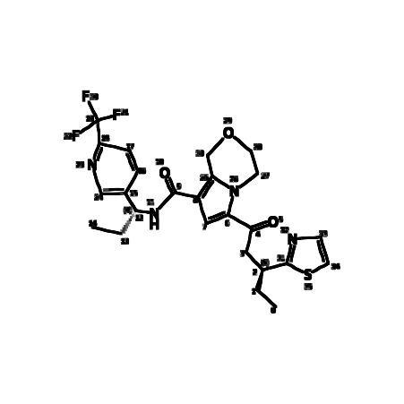 CC[C@@H](CC(=O)c1cc(C(=O)N[C@H](CC)c2ccc(C(F)(F)F)nc2)c2n1CCOC2)c1nccs1